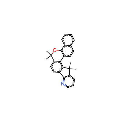 CC1(C)Oc2c(ccc3ccccc23)-c2c1ccc1c2C(C)(C)c2cccnc2-1